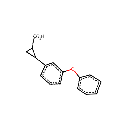 O=C(O)C1CC1c1cccc(Oc2ccccc2)c1